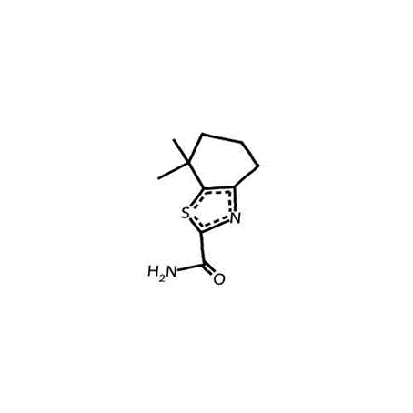 CC1(C)CCCc2nc(C(N)=O)sc21